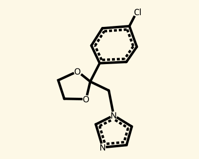 Clc1ccc(C2(Cn3ccnc3)OCCO2)cc1